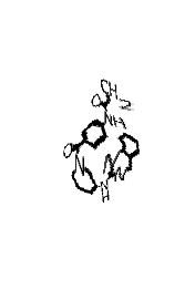 C=CC(=O)Nc1ccc(C(=O)N2CCC[C@@H](Nc3ncc4ccccc4n3)C2)cc1